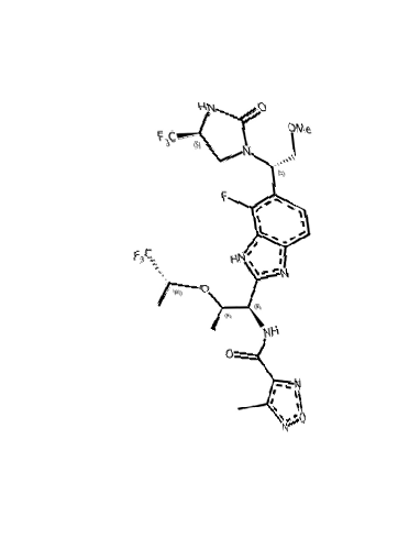 COC[C@H](c1ccc2nc([C@@H](NC(=O)c3nonc3C)[C@@H](C)O[C@H](C)C(F)(F)F)[nH]c2c1F)N1C[C@@H](C(F)(F)F)NC1=O